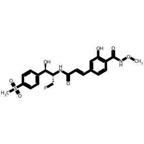 CONC(=O)c1ccc(C=CC(=O)N[C@H](CF)[C@H](O)c2ccc(S(C)(=O)=O)cc2)cc1O